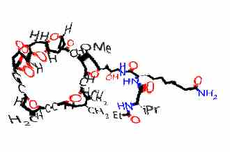 C=C1C[C@@H]2CC[C@@]34CC5OC6C(O[C@H]7CC[C@H](CC(=O)C[C@@H]8[C@@H](OC)[C@@H](C[C@H](O)CNC(=O)[C@H](CCCCCCC(N)=O)NC(=O)[C@@H](NC(=O)CC)C(C)C)O[C@H]8C[C@H]8O[C@@H](CC[C@@H]1O2)C[C@@H](C)C8=C)O[C@@H]7[C@@H]6O3)[C@H]5O4